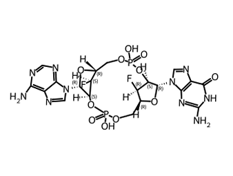 Nc1nc2c(ncn2[C@@H]2O[C@@H]3COP(=O)(O)O[C@@H]4[C@@H](F)[C@@H](COP(=O)(O)O[C@@H]2[C@@H]3F)O[C@H]4n2cnc3c(N)ncnc32)c(=O)[nH]1